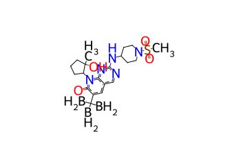 BC(B)(B)c1cc2cnc(NC3CCN(S(C)(=O)=O)CC3)nc2n(C2CCCC2(C)O)c1=O